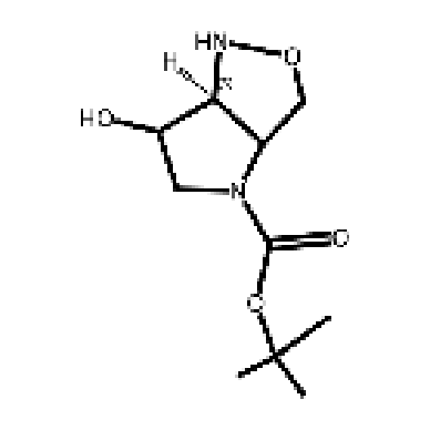 CC(C)(C)OC(=O)N1CC(O)[C@H]2NOCC21